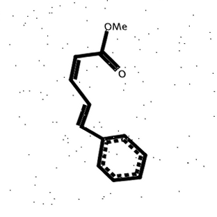 COC(=O)/C=C\C=C\c1ccccc1